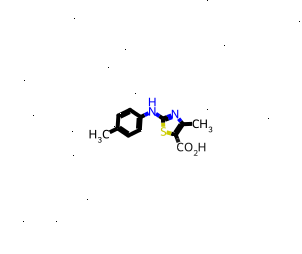 Cc1ccc(Nc2nc(C)c(C(=O)O)s2)cc1